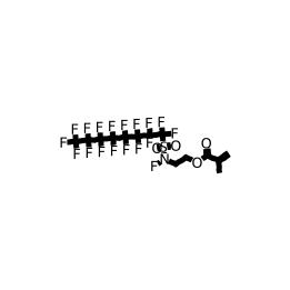 C=C(C)C(=O)OCCN(F)S(=O)(=O)C(F)(F)C(F)(F)C(F)(F)C(F)(F)C(F)(F)C(F)(F)C(F)(F)C(F)(F)F